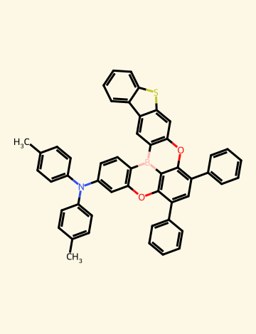 Cc1ccc(N(c2ccc(C)cc2)c2ccc3c(c2)Oc2c(-c4ccccc4)cc(-c4ccccc4)c4c2B3c2cc3c(cc2O4)sc2ccccc23)cc1